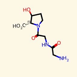 NCC(=O)NCC(=O)N1CCC(O)[C@H]1C(=O)O